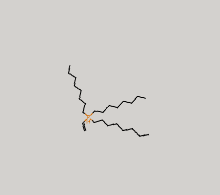 C=C[PH](CCCCCCCC)(CCCCCCCC)CCCCCCCC